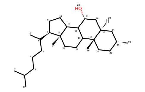 CC(C)CCCC(C)[C@H]1CCC2C3C(CC[C@@]21C)[C@@]1(C)CC[C@@H](C)C[C@@H]1C[C@H]3O